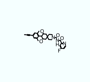 CC#Cc1cc(C)c(C2C(=O)CC3(CCN(C(=O)NC(=O)c4cc(F)ccn4)CC3)CC2=O)c(C)c1